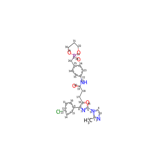 Cc1nccn1-c1nc(-c2ccc(Cl)cc2)c(CCC(=O)Nc2ccc(CP3(=O)OCCCO3)cc2)o1